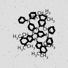 Cc1cc2c(cc1N1c3cc(N(c4ccccc4)c4ccccc4)ccc3B3c4cc5c(cc4N(c4ccc6c(c4)C(C)(C)CCC6(C)C)c4cc(N(c6ccccc6)c6ccccc6)cc1c43)C(C)(C)CCC5(C)C)C(C)(C)CC2(C)C